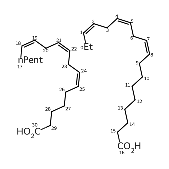 CC/C=C\C/C=C\C/C=C\CCCCCCCC(=O)O.CCCCC/C=C\C/C=C\C/C=C\CCCCC(=O)O